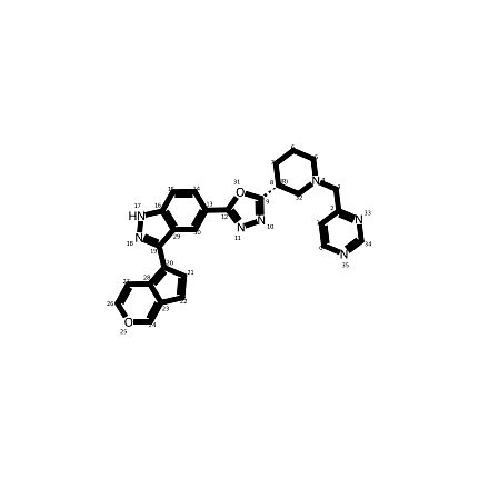 c1cc(CN2CCC[C@@H](c3nnc(-c4ccc5[nH]nc(-c6ccc7coccc6-7)c5c4)o3)C2)ncn1